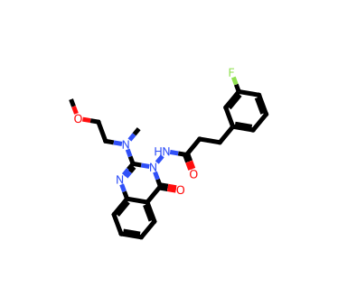 COCCN(C)c1nc2ccccc2c(=O)n1NC(=O)CCc1cccc(F)c1